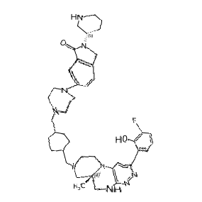 C[C@]12CNc3nnc(-c4cccc(F)c4O)cc3N1CCN(CC1CCC(CN3CCN(c4ccc5c(c4)C(=O)N([C@H]4CCCNC4)C5)CC3)CC1)C2